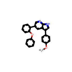 COc1ccc(-c2c[nH]c3ncc(-c4ccccc4Oc4ccccc4)cc23)cc1